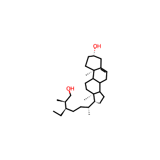 CC[C@H](CC[C@@H](C)[C@H]1CCC2C3CC=C4C[C@@H](O)CC[C@]4(C)C3CC[C@@]21C)[C@@H](C)CO